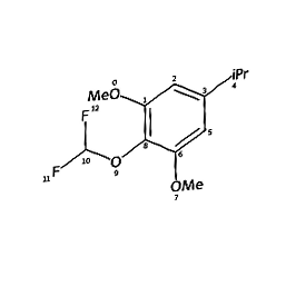 COc1cc(C(C)C)cc(OC)c1OC(F)F